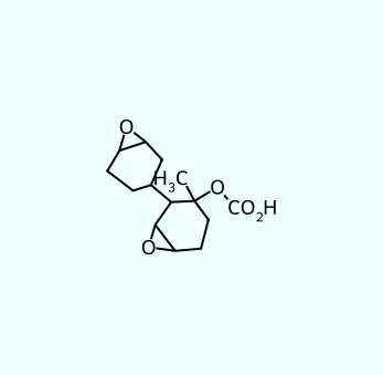 CC1(OC(=O)O)CCC2OC2C1C1CCC2OC2C1